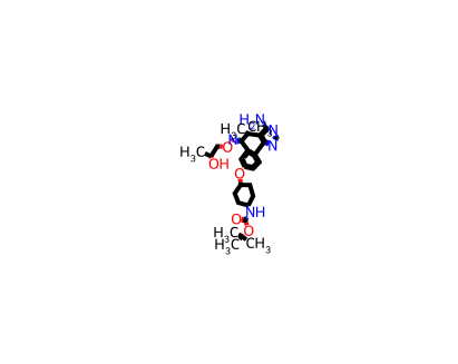 CC(O)CO/N=C1\c2cc(OC3CCC(NC(=O)OC(C)(C)C)CC3)ccc2-c2ncnc(N)c2C1(C)C